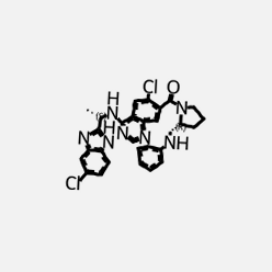 C[C@H](Nc1ncnc2cc(C(=O)N3CCC[C@@H]3CNc3ccccc3)c(Cl)cc12)c1nc2cc(Cl)ccc2[nH]1